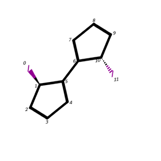 I[C@@H]1CCCC1C1CCC[C@@H]1I